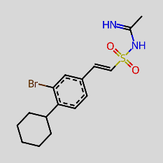 CC(=N)NS(=O)(=O)C=Cc1ccc(C2CCCCC2)c(Br)c1